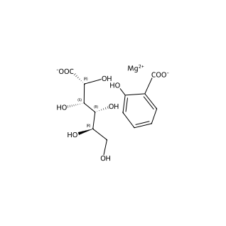 O=C([O-])[C@H](O)[C@@H](O)[C@H](O)[C@H](O)CO.O=C([O-])c1ccccc1O.[Mg+2]